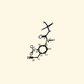 CN(C(=O)CC(C)(C)C)c1ccc(CC#N)c([N+](=O)[O-])c1